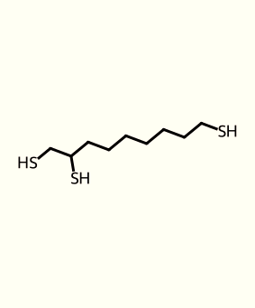 SCCCCCCCC(S)CS